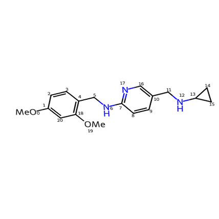 COc1ccc(CNc2ccc(CNC3CC3)cn2)c(OC)c1